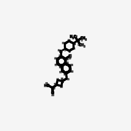 CC(C)(C)[C@H]1CC[C@H](Oc2ccc3cc(CN4CC(C(=O)O)C4)ccc3c2Cl)CC1